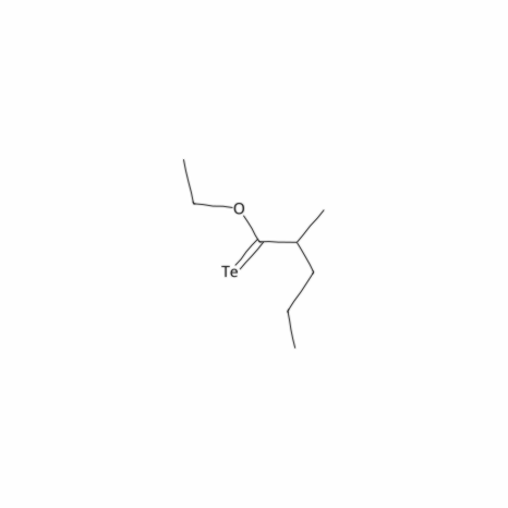 CCCC(C)C(=[Te])OCC